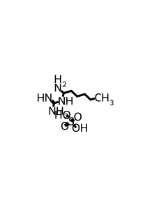 CCCCCC(N)NC(=N)N.O=S(=O)(O)O